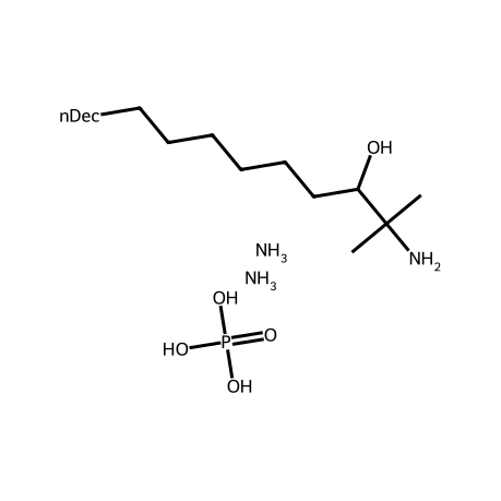 CCCCCCCCCCCCCCCCC(O)C(C)(C)N.N.N.O=P(O)(O)O